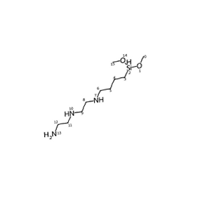 CO[SiH](CCCCNCCNCCN)OC